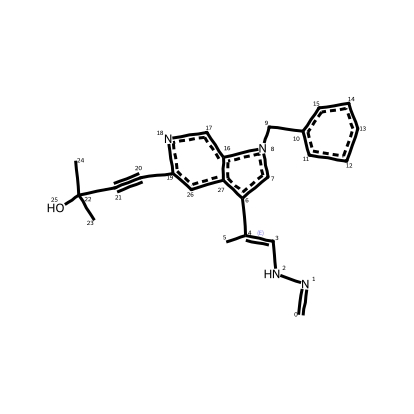 C=NN/C=C(\C)c1cn(Cc2ccccc2)c2cnc(C#CC(C)(C)O)cc12